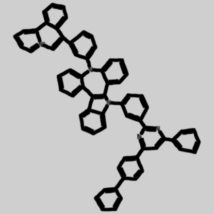 c1ccc(-c2ccc(-c3cc(-c4ccccc4)nc(-c4cccc(-n5c6c(c7ccccc75)-c5ccccc5N(c5cccc(-c7c[n+]8ccccc8c8ccccc78)c5)c5ccccc5-6)c4)n3)cc2)cc1